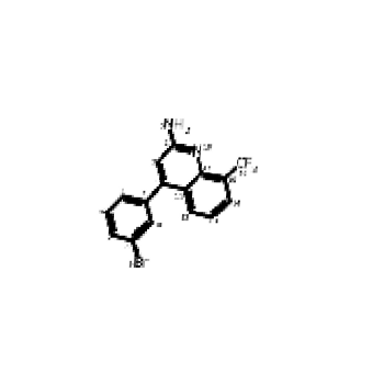 Nc1cc(-c2cccc(Br)c2)c2cccc(C(F)(F)F)c2n1